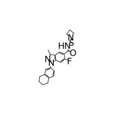 Cc1nn(-c2ccc3c(c2)CCCC3)c2cc(F)c(C(=O)NSN3CCC3)cc12